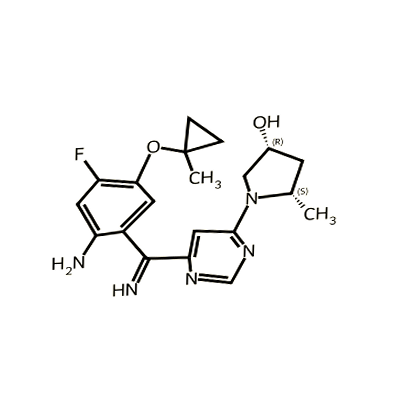 C[C@H]1C[C@@H](O)CN1c1cc(C(=N)c2cc(OC3(C)CC3)c(F)cc2N)ncn1